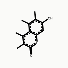 Cc1c(O)cc2oc(=O)c(C)c(C)c2c1C